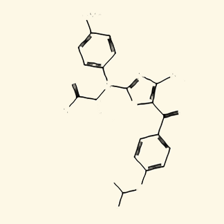 COc1ccc(N(c2nc(N)c(C(=O)c3ccc(OC(F)F)cc3)s2)[C@H](C)C(N)=O)cc1